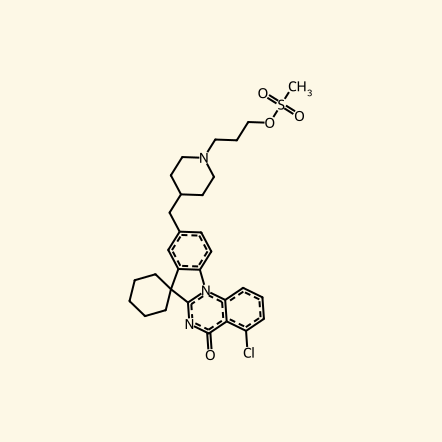 CS(=O)(=O)OCCCN1CCC(Cc2ccc3c(c2)C2(CCCCC2)c2nc(=O)c4c(Cl)cccc4n2-3)CC1